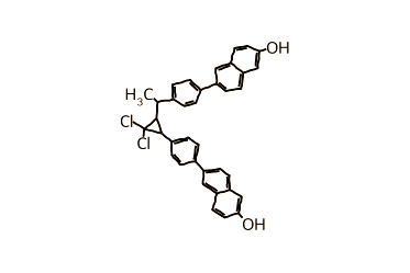 CC(c1ccc(-c2ccc3cc(O)ccc3c2)cc1)C1C(c2ccc(-c3ccc4cc(O)ccc4c3)cc2)C1(Cl)Cl